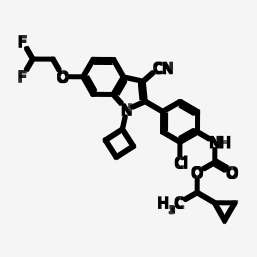 CC(OC(=O)Nc1ccc(-c2c(C#N)c3ccc(OCC(F)F)cc3n2C2CCC2)cc1Cl)C1CC1